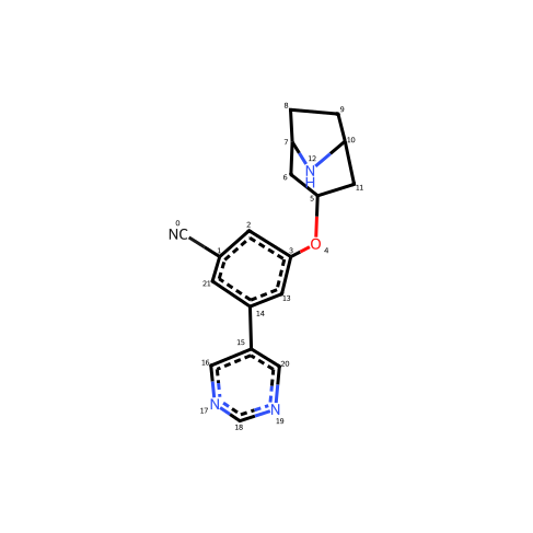 N#Cc1cc(OC2CC3CCC(C2)N3)cc(-c2cncnc2)c1